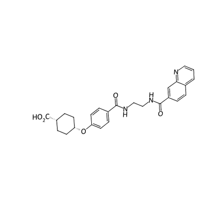 O=C(NCCNC(=O)c1ccc2cccnc2c1)c1ccc(O[C@H]2CC[C@@H](C(=O)O)CC2)cc1